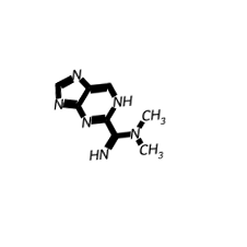 CN(C)C(=N)c1nc2ncnc-2c[nH]1